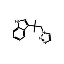 CC(C)(Cn1c[c]nn1)c1c[nH]c2ccccc12